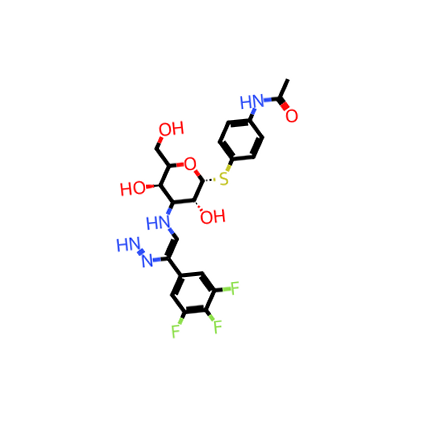 CC(=O)Nc1ccc(S[C@H]2OC(CO)[C@H](O)C(N/C=C(\N=N)c3cc(F)c(F)c(F)c3)[C@H]2O)cc1